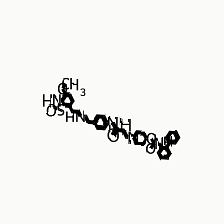 COc1ccc(CCNCCc2ccc(NC(=O)CCN3CCC(OC(=O)Nc4ccccc4-c4ccccc4)CC3)cc2)c2sc(=O)[nH]c12